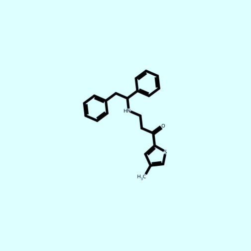 Cc1csc(C(=O)CCNC(Cc2ccccc2)c2ccccc2)c1